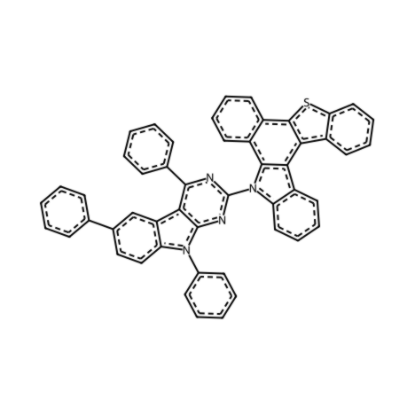 c1ccc(-c2ccc3c(c2)c2c(-c4ccccc4)nc(-n4c5ccccc5c5c6c7ccccc7sc6c6ccccc6c54)nc2n3-c2ccccc2)cc1